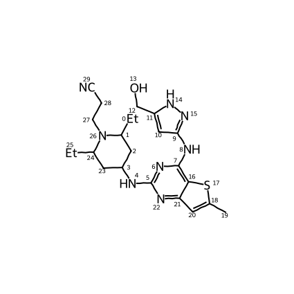 CCC1CC(Nc2nc(Nc3cc(CO)[nH]n3)c3sc(C)cc3n2)CC(CC)N1CCC#N